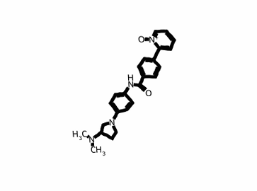 CN(C)C1CCN(c2ccc(NC(=O)c3ccc(-c4cccc[n+]4[O-])cc3)cc2)C1